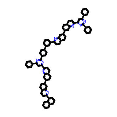 c1ccc(-c2cc(-c3ccc4ccc(-c5ccc6ccc(-c7cccc(-c8ccc(-c9nc(-c%10ccccc%10)cc(-c%10ccc%11ccc(-c%12ccc%13ccc(-c%14cccc%15ccccc%14%15)nc%13c%12)cc%11n%10)n9)cc8)c7)nc6c5)cc4n3)nc(-c3ccccc3)n2)cc1